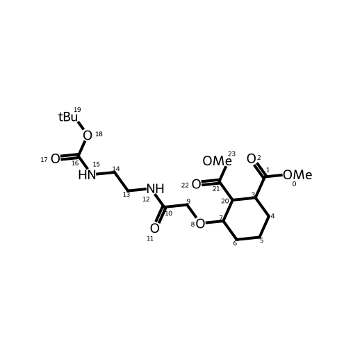 COC(=O)C1CCCC(OCC(=O)NCCNC(=O)OC(C)(C)C)C1C(=O)OC